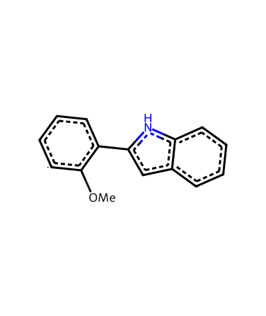 COc1[c]cccc1-c1cc2ccccc2[nH]1